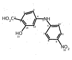 O=C(O)c1ccc(Nc2ccc([N+](=O)[O-])cc2)cc1O